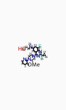 COc1cccnc1N1CCN(c2nc(C3(F)CC3)nc3c(F)cc(N(C)CCO)cc23)CC1